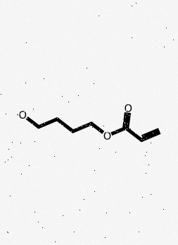 C=CC(=O)OCCCC[O]